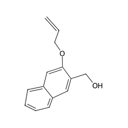 C=CCOc1cc2ccccc2cc1CO